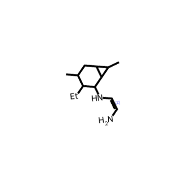 CCC1C(C)CC2C(C)C2C1N/C=C\N